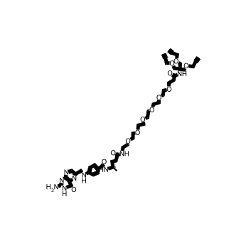 C#CCOCC(COCC#C)(COCC#C)NC(=O)CCOCCOCCOCCOCCOCCOCCNC(=O)CC[C@@H](C)NC(=O)c1ccc(NCc2cnc3nc(N)[nH]c(=O)c3n2)cc1